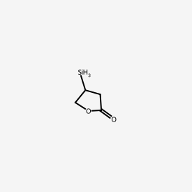 O=C1CC([SiH3])CO1